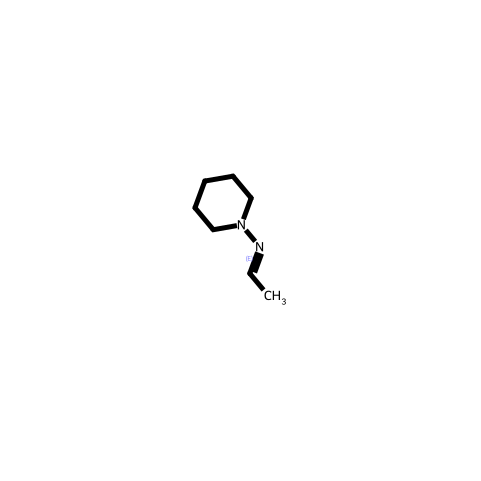 C/C=N/N1CCCCC1